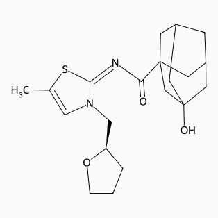 Cc1cn(C[C@H]2CCCO2)c(=NC(=O)C23CC4CC(CC(O)(C4)C2)C3)s1